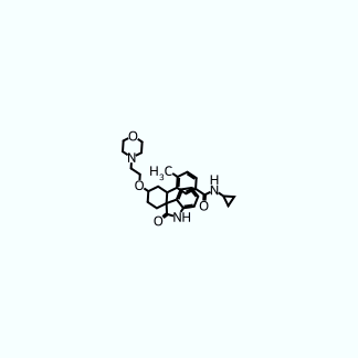 Cc1ccc(C(=O)NC2CC2)cc1C1CC(OCCN2CCOCC2)CCC12C(=O)Nc1ccccc12